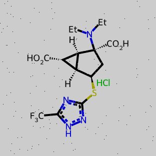 CCN(CC)[C@@]1(C(=O)O)C[C@@H](Sc2n[nH]c(C(F)(F)F)n2)[C@H]2[C@H](C(=O)O)[C@H]21.Cl